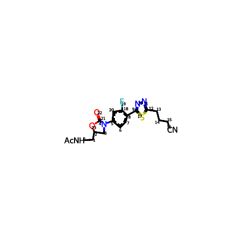 CC(=O)NCC1CN(c2ccc(-c3nnc(CCCC#N)s3)c(F)c2)C(=O)O1